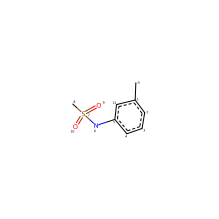 Cc1cccc([N]S(C)(=O)=O)c1